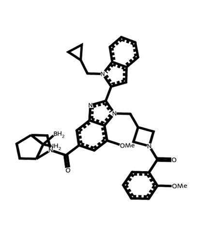 BC1(N)C2CCC1N(C(=O)c1cc(OC)c3c(c1)nc(-c1cc4ccccc4n1CC1CC1)n3CC1CN(C(=O)c3ccccc3OC)C1)C2